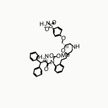 COC(=O)N(C(=O)[C@@H](N)C(c1ccccc1)c1ccccc1)c1ccccc1CC[C@@H]1CNC[C@@H](COc2ccc(S(N)(=O)=O)cc2)O1